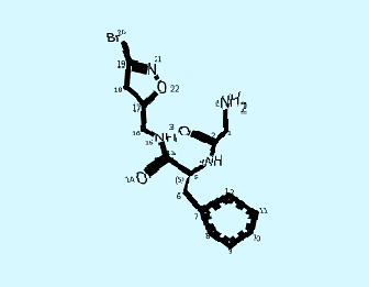 NCC(=O)N[C@@H](Cc1ccccc1)C(=O)NCC1CC(Br)=NO1